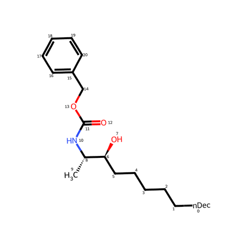 CCCCCCCCCCCCCCC[C@H](O)[C@H](C)NC(=O)OCc1ccccc1